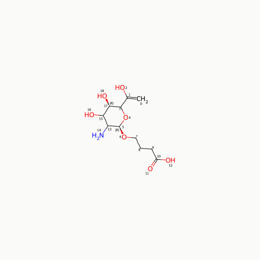 C=C(O)C1O[C@@H](OCCCC(=O)O)C(N)C(O)[C@H]1O